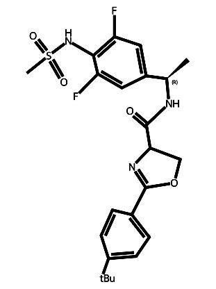 C[C@@H](NC(=O)C1COC(c2ccc(C(C)(C)C)cc2)=N1)c1cc(F)c(NS(C)(=O)=O)c(F)c1